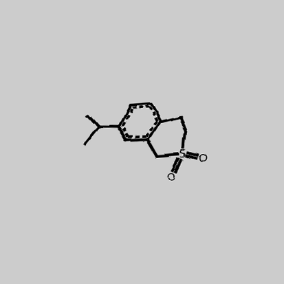 CC(C)c1ccc2c(c1)CS(=O)(=O)CC2